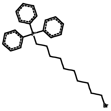 BrCCCCCCCCCC[P+](c1ccccc1)(c1ccccc1)c1ccccc1